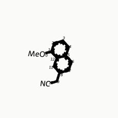 COc1cccc2ccc(CC#N)cc12